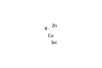 [Cu].[K].[Sn].[Zn]